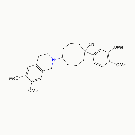 COc1ccc(C2(C#N)CCCC(N3CCc4cc(OC)c(OC)cc4C3)CCC2)cc1OC